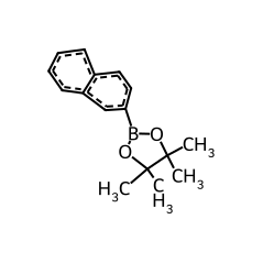 CC1(C)OB(c2ccc3ccccc3c2)OC1(C)C